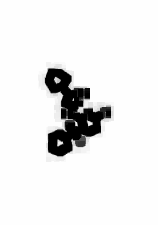 O=S(=O)(c1ccccc1)c1ccc(Cl)nc1Nc1cc(C2CCCCC2)[nH]n1